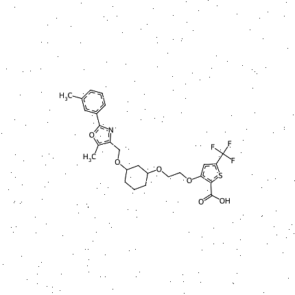 Cc1cccc(-c2nc(COC3CCCC(OCCOc4cc(C(F)(F)F)sc4C(=O)O)C3)c(C)o2)c1